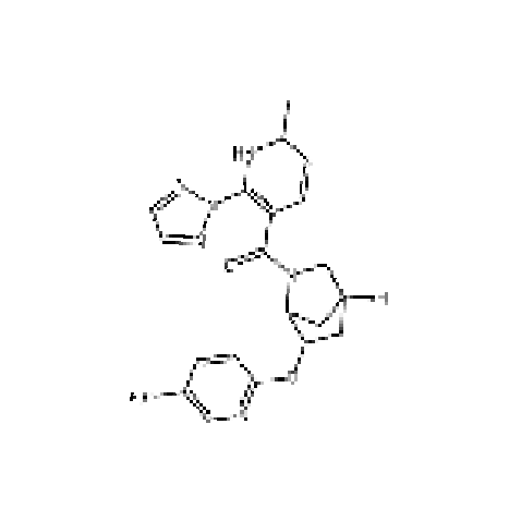 CC1C=CC(C(=O)N2C[C@@H]3CC(Oc4ccc(C(F)(F)F)cn4)C2C3)=C(n2nccn2)N1